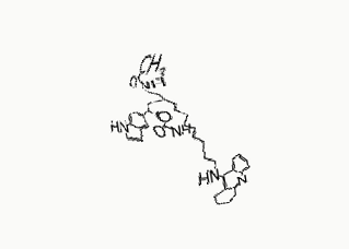 CC(=O)NCCC(CCCCCCCCCNc1c2c(nc3ccccc13)CCCC2)CC(OC(N)=O)c1ccc2[nH]ccc2c1